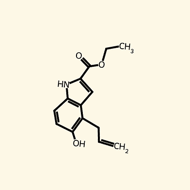 C=CCc1c(O)ccc2[nH]c(C(=O)OCC)cc12